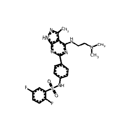 Cc1n[nH]c2nc(-c3ccc(NS(=O)(=O)c4cc(F)ccc4F)cc3)nc(NCCN(C)C)c12